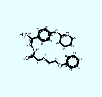 N/C(=N/OC(=O)CSCCOc1ccccc1)c1ccc(OC2CCCCO2)cc1